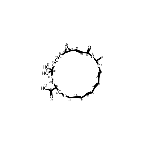 CC1C/C=C/C=C/C=C/C=C/CCCC(C(=O)O)CCC(O)(O)CCCC2OC2/C=C/C(=O)O1